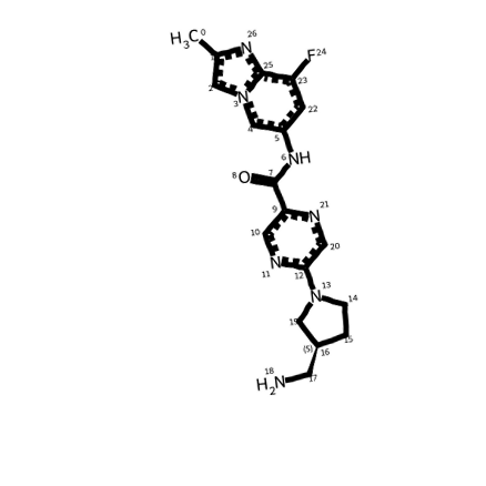 Cc1cn2cc(NC(=O)c3cnc(N4CC[C@@H](CN)C4)cn3)cc(F)c2n1